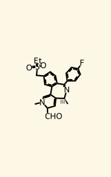 CCS(=O)(=O)Cc1ccc2c(c1)C1=CN(C)C(C=O)C=C1[C@H](C)N=C2c1ccc(F)cc1